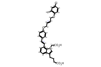 O=C(O)CCCc1cn(CC(=O)O)c2c(/C=C/c3ccc(OC/C=C/COc4ccc(Cl)cc4F)cc3)cccc12